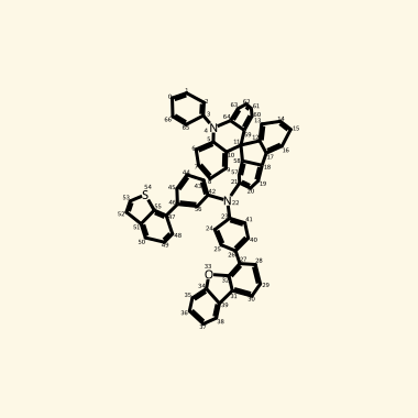 c1ccc(N2c3ccccc3C3(c4ccccc4-c4ccc(N(c5ccc(-c6cccc7c6oc6ccccc67)cc5)c5cccc(-c6cccc7ccsc67)c5)cc43)c3ccccc32)cc1